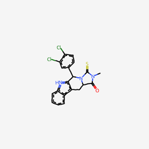 CN1C(=O)C2Cc3c([nH]c4ccccc34)C(c3ccc(Cl)c(Cl)c3)N2C1=S